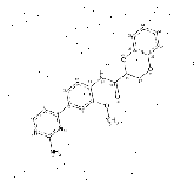 COc1cc(-c2ccnc(N)n2)ccc1NC(=O)C1COc2ccccc2O1